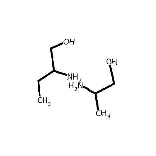 CC(N)CO.CCC(N)CO